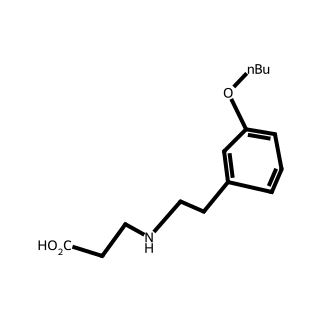 CCCCOc1cccc(CCNCCC(=O)O)c1